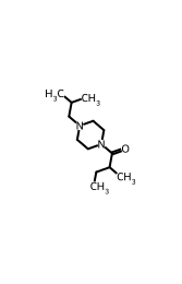 CCC(C)C(=O)N1CCN(CC(C)C)CC1